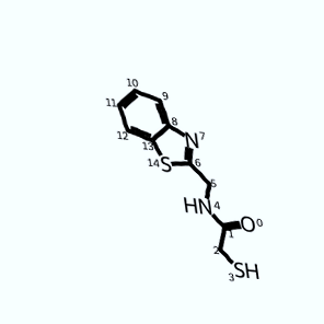 O=C(CS)NCc1nc2ccccc2s1